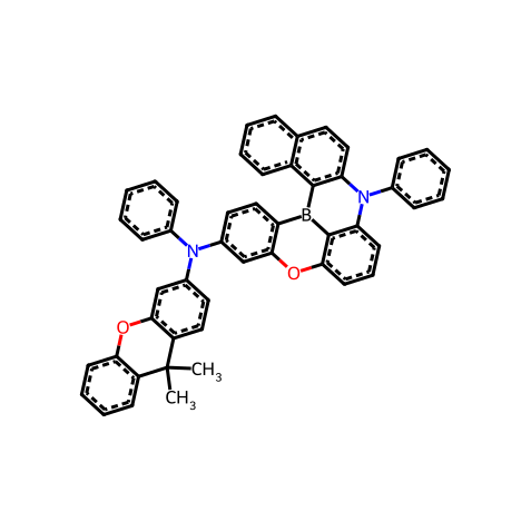 CC1(C)c2ccccc2Oc2cc(N(c3ccccc3)c3ccc4c(c3)Oc3cccc5c3B4c3c(ccc4ccccc34)N5c3ccccc3)ccc21